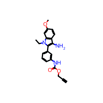 C#CCOC(=O)Nc1cccc(-c2c(N)c3ccc(OC)cc3n2CC)c1